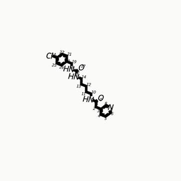 O=C(Cc1cccnc1)NCCCCCNC(=O)NCc1ccc(Cl)cc1